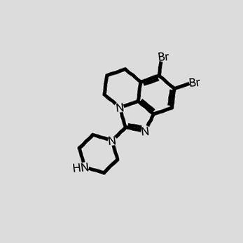 Brc1cc2nc(N3CCNCC3)n3c2c(c1Br)CCC3